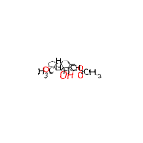 CC(=O)O[C@H]1CC[C@@]2(C)C(=CC[C@@H]3[C@@H]2[C@H](O)C[C@]2(C)C(=O)CC[C@@H]32)C1